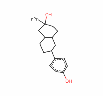 CCCC1(O)CCC2CC(c3ccc(O)cc3)CCC2C1